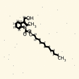 CCCCCCCCCCCCOOC(=O)n1c(C)c(CO)c2ccccc21